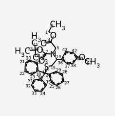 CCOC(=O)CN(C(=O)OC(C)(C)C)C(CSC(c1ccccc1)(c1ccccc1)c1ccccc1)c1ccc(OC)cc1